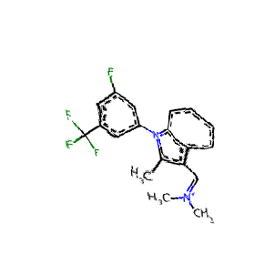 Cc1c(C=[N+](C)C)c2ccccc2n1-c1cc(F)cc(C(F)(F)F)c1